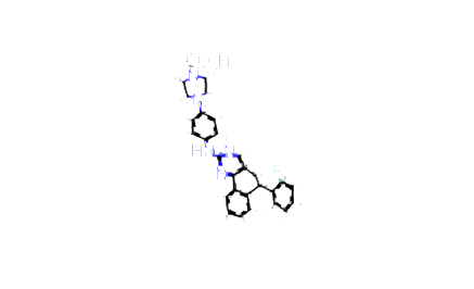 O=C(O)N1CCN(c2ccc(Nc3ncc4c(n3)-c3ccccc3C(c3ccccc3F)C4)cc2)CC1